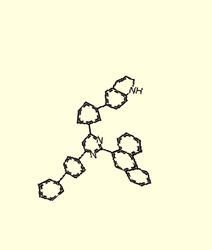 C1=Cc2cc(-c3cccc(-c4cc(-c5ccc(-c6ccccc6)cc5)nc(-c5cc6ccccc6c6ccccc56)n4)c3)ccc2NC1